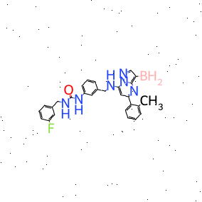 Bc1cnn2c(NCc3cccc(NC(=O)NCc4cccc(F)c4)c3)cc(-c3ccccc3C)nc12